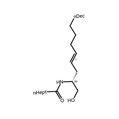 CCCCCCCCCCCCC/C=C/C[C@H](CO)NC(=O)CCCCCCC